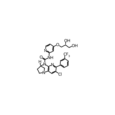 O=C(Nc1cc(OC[C@@H](O)CO)ccn1)N1c2nc(-c3cccc(C(F)(F)F)c3)c(Cl)cc2N2CC[C@H]1C2